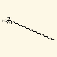 CCCCCCCCC=CCCCCCCCCCCCCCCCC(O)(O)O